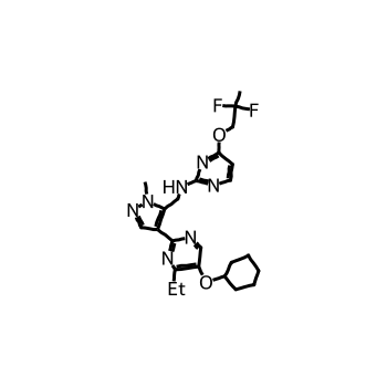 CCc1nc(-c2cnn(C)c2CNc2nccc(OCC(C)(F)F)n2)ncc1OC1CCCCC1